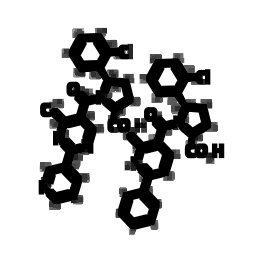 Cc1nc(-c2ccccc2)ccc1C(=O)N1[C@@H](c2ccccc2Cl)CC[C@H]1C(=O)O.O=C(O)[C@@H]1CC[C@H](c2ccccc2Cl)N1C(=O)c1cnc(-c2cccnc2)nc1Cl